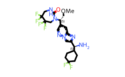 COC[C@H](c1cnn2cc([C@@H](N)C3CCC(F)(F)CC3)nc2c1)N1CC(F)(F)C(F)(F)CNC1=O